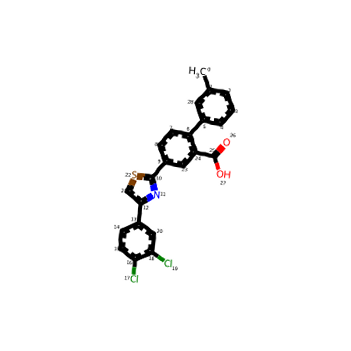 Cc1cccc(-c2ccc(-c3nc(-c4ccc(Cl)c(Cl)c4)cs3)cc2C(=O)O)c1